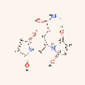 NC(=O)CCC(CN1C(=O)C=CC1=O)N1C(=O)C=CC1=O